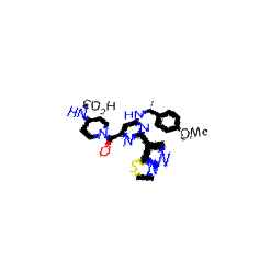 COc1ccc([C@@H](C)Nc2cc(C(=O)N3CCC(NC(=O)O)CC3)nc(-c3cnn4ccsc34)n2)cc1